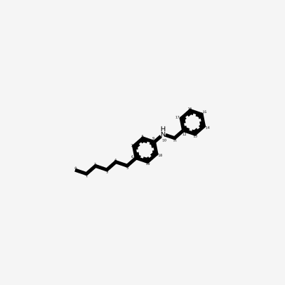 CCCCCCc1ccc(NCc2ccccc2)cc1